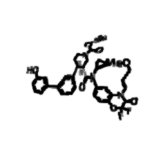 COCCCN1C(=O)C(F)(F)Oc2ccc(N(C(=O)[C@H]3CN(C(=O)OC(C)(C)C)CC[C@@H]3c3cccc(-c4cccc(O)c4)c3)C3CC3)cc21